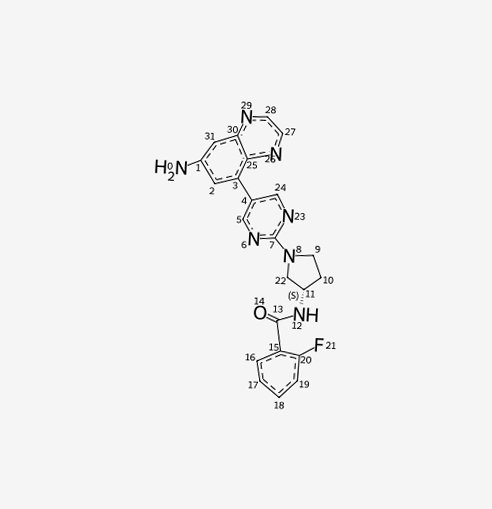 Nc1cc(-c2cnc(N3CC[C@H](NC(=O)c4ccccc4F)C3)nc2)c2nccnc2c1